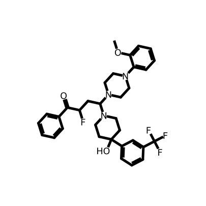 COc1ccccc1N1CCN(C(CC(F)C(=O)c2ccccc2)N2CCC(O)(c3cccc(C(F)(F)F)c3)CC2)CC1